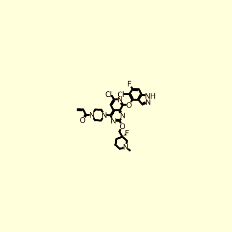 C=CC(=O)N1CCN(c2nc(OC[C@]3(F)CCCN(C)C3)nc3c(Oc4c(Cl)c(F)cc5[nH]ncc45)nc(Cl)cc23)CC1